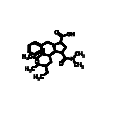 CCC(CC)CC(NC(C)=O)C1C(C(=O)N(C)C)CC(C(=O)O)N1Cc1ccccc1